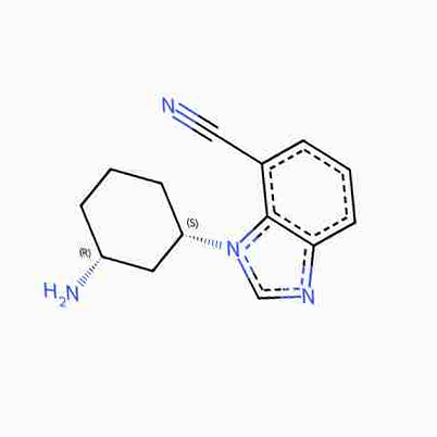 N#Cc1cccc2ncn([C@H]3CCC[C@@H](N)C3)c12